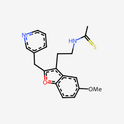 COc1ccc2oc(Cc3cccnc3)c(CCNC(C)=S)c2c1